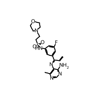 C=C/C(=N\c1c(C)ncnc1N)c1cc(F)cc(NS(=O)(=O)CCN2CCOCC2)c1